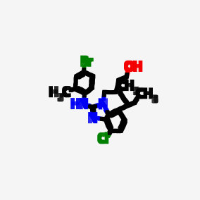 CCC(CC)c1ccc(Cl)c2nc(Nc3ccc(Br)cc3C)n(CCCCO)c12